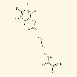 C=C(C)C(=O)NCCCCCCC(=O)Oc1c(F)c(F)c(F)c(F)c1F